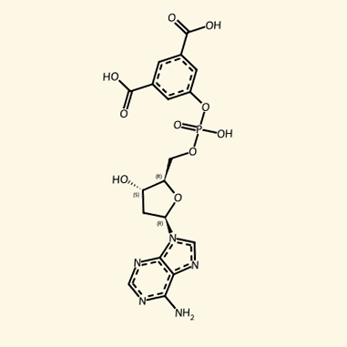 Nc1ncnc2c1ncn2[C@H]1C[C@H](O)[C@@H](COP(=O)(O)Oc2cc(C(=O)O)cc(C(=O)O)c2)O1